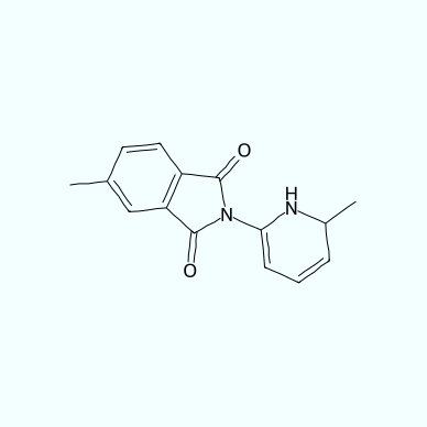 Cc1ccc2c(c1)C(=O)N(C1=CC=CC(C)N1)C2=O